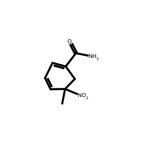 CC1([N+](=O)[O-])C=CC=C(C(N)=O)C1